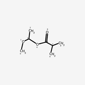 COC(C)OC(=O)[C](C)C